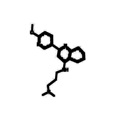 COc1ccc(-c2cc(NCCCN(C)C)c3ccccc3n2)cn1